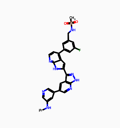 CC(C)Nc1cncc(-c2cnc3[nH]nc(-c4cc5c(-c6cc(F)cc(CNS(C)(=O)=O)c6)ccnc5[nH]4)c3c2)c1